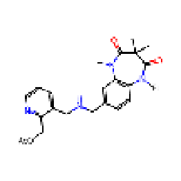 CCN1C(=O)C(C)(C)C(=O)N(C)c2cc(CNCc3cccnc3COC(C)=O)ccc21